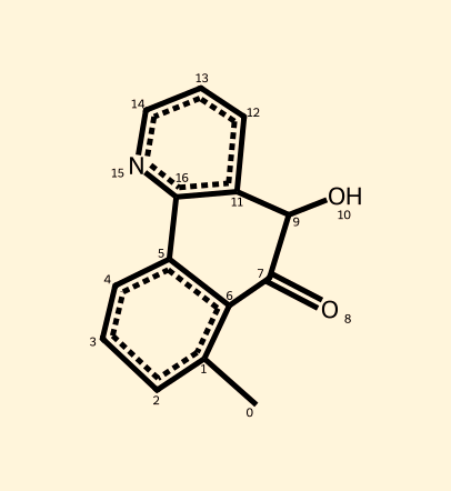 Cc1cccc2c1C(=O)C(O)c1cccnc1-2